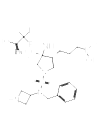 N[C@@]1(C(=O)O)CN(S(=O)(=O)N(Cc2ccccc2)C2CNC2)C[C@@H]1CCCB(O)O.O=C(O)C(F)(F)F